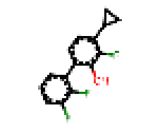 Oc1c(-c2cccc(F)c2F)ccc(C2CC2)c1F